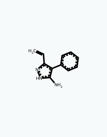 C=Cc1n[nH]c(N)c1-c1ccccc1